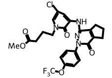 COC(=O)CCCn1cc(Cl)cc(Nc2nn(-c3ccc(OC(F)(F)F)cc3)c(=O)c3c2CCC3)c1=O